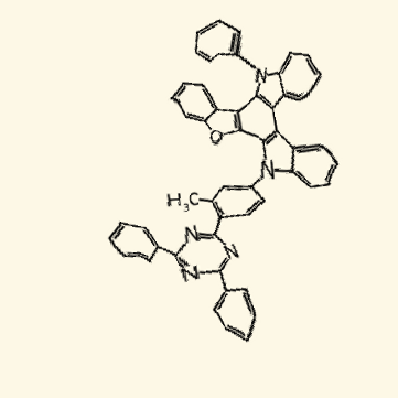 Cc1cc(-n2c3ccccc3c3c4c5ccccc5n(-c5ccccc5)c4c4c5ccccc5oc4c32)ccc1-c1nc(-c2ccccc2)nc(-c2ccccc2)n1